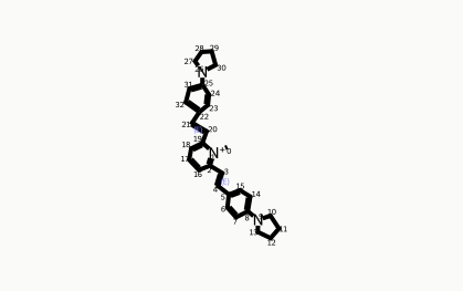 C[n+]1c(/C=C/c2ccc(N3CCCC3)cc2)cccc1/C=C/c1ccc(N2CCCC2)cc1